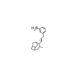 Bc1cccc(C/C=C/C2C(C)CC3CC4CC2CC34)c1